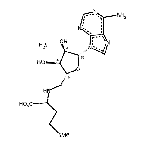 CSCCC(NC[C@H]1O[C@@H](n2cnc3c(N)ncnc32)[C@H](O)[C@@H]1O)C(=O)O.S